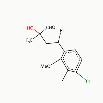 CCC(CC(O)(C=O)C(F)(F)F)c1ccc(Cl)c(C)c1OC